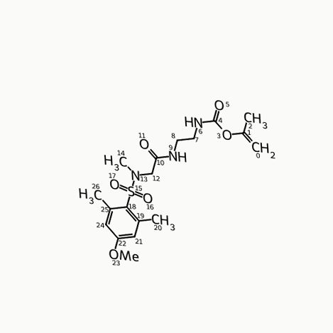 C=C(C)OC(=O)NCCNC(=O)CN(C)S(=O)(=O)c1c(C)cc(OC)cc1C